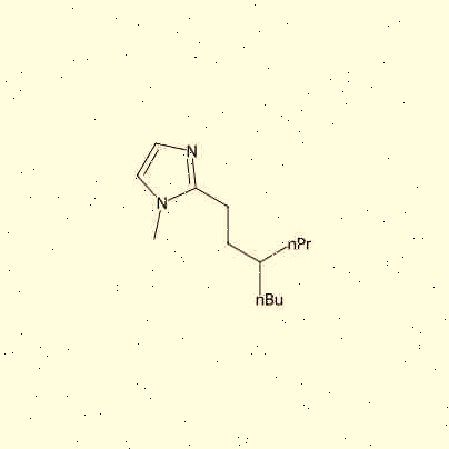 CCCCC(CCC)CCc1nccn1C